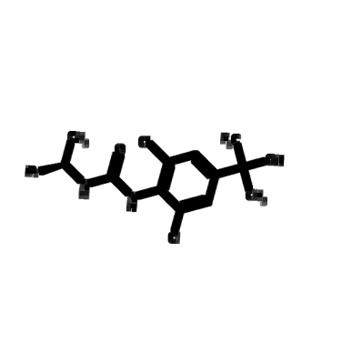 CC(C)[C@@H](C)NC(=O)Nc1c(Cl)cc(C(C)(O)C(F)(F)F)cc1Cl